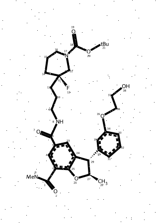 CNC(=O)c1cc(C(=O)NCCC[C@]2(F)CCCN(C(=O)OC(C)(C)C)C2)cc2c1O[C@H](C)[C@H]2c1cccc(OCCO)c1